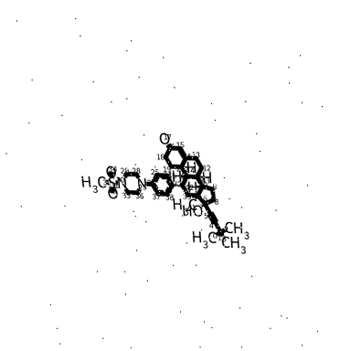 CC(C)(C)C#C[C@]1(O)CC[C@H]2[C@@H]3CCC4=CC(=O)CC[C@@H]4[C@H]3[C@@H](c3ccc(N4CCN(S(C)(=O)=O)CC4)cc3)C[C@@]21C